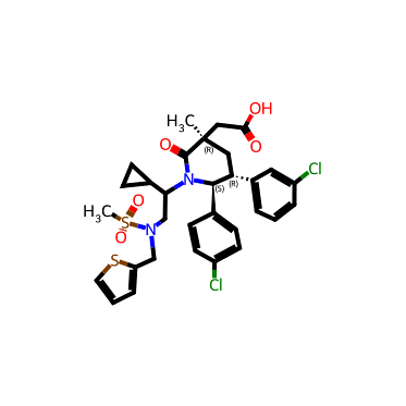 C[C@]1(CC(=O)O)C[C@H](c2cccc(Cl)c2)[C@@H](c2ccc(Cl)cc2)N(C(CN(Cc2cccs2)S(C)(=O)=O)C2CC2)C1=O